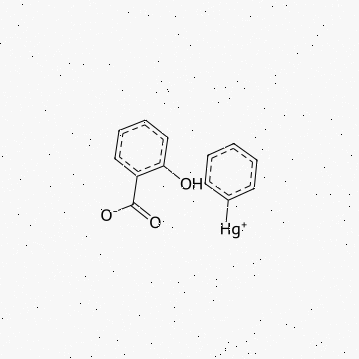 O=C([O-])c1ccccc1O.[Hg+][c]1ccccc1